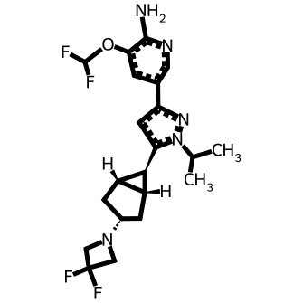 CC(C)n1nc(-c2cnc(N)c(OC(F)F)c2)cc1[C@H]1[C@@H]2C[C@H](N3CC(F)(F)C3)C[C@@H]21